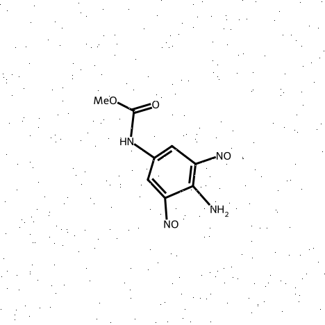 COC(=O)Nc1cc(N=O)c(N)c(N=O)c1